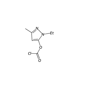 CCn1nc(C)cc1OC(=O)Cl